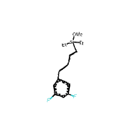 CC[Si](CC)(CCCCc1cc(F)cc(F)c1)OC